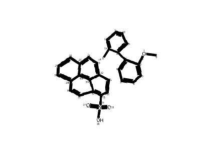 COc1ccccc1-c1ccccc1I.O=S(=O)(O)c1ccc2ccc3cccc4ccc1c2c34